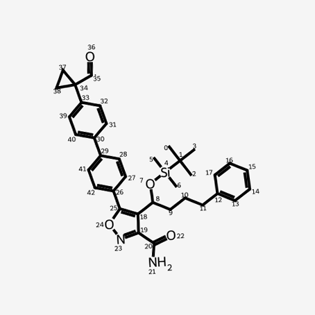 CC(C)(C)[Si](C)(C)OC(CCCc1ccccc1)c1c(C(N)=O)noc1-c1ccc(-c2ccc(C3([C]=O)CC3)cc2)cc1